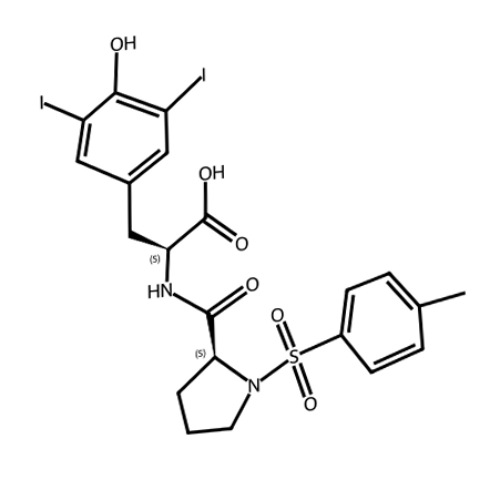 Cc1ccc(S(=O)(=O)N2CCC[C@H]2C(=O)N[C@@H](Cc2cc(I)c(O)c(I)c2)C(=O)O)cc1